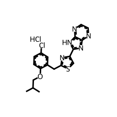 CC(C)COc1ccc(Cl)cc1Cc1nc(-c2nc3nccnc3[nH]2)cs1.Cl